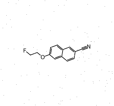 N#Cc1ccc2cc(OCCF)ccc2c1